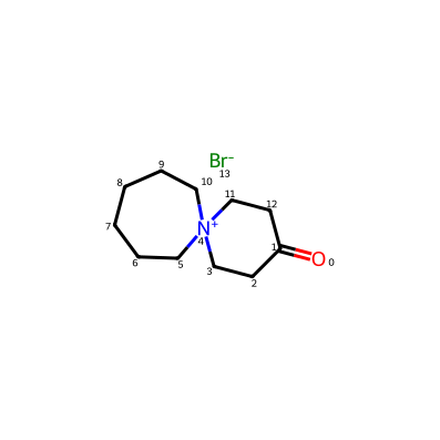 O=C1CC[N+]2(CCCCCC2)CC1.[Br-]